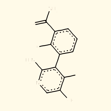 Cc1c(C(F)(F)F)cnc(N)c1-c1cccc(C(N)=O)c1F